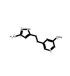 COc1cncc(CCc2cc([AsH2])n[nH]2)c1